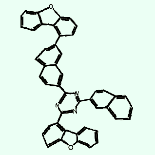 c1ccc2cc(-c3nc(-c4ccc5ccc(-c6cccc7oc8ccccc8c67)cc5c4)nc(-c4cccc5oc6ccccc6c45)n3)ccc2c1